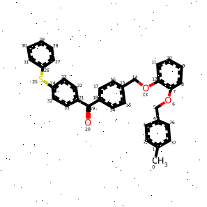 Cc1ccc(COc2ccccc2OCc2ccc(C(=O)c3ccc(Sc4ccccc4)cc3)cc2)cc1